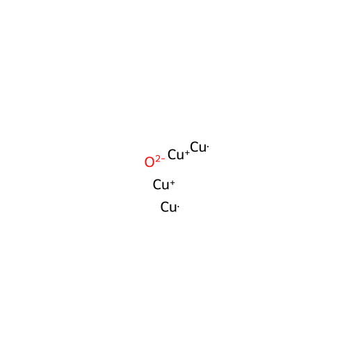 [Cu+].[Cu+].[Cu].[Cu].[O-2]